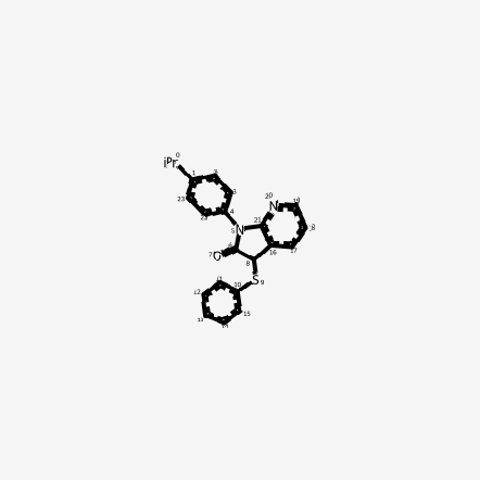 CC(C)c1ccc(N2C(=O)C(Sc3ccccc3)c3cccnc32)cc1